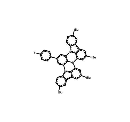 CC(C)(C)c1ccc2c(c1)c1cc(C(C)(C)C)cc3c1n2-c1cc(-c2ccc(F)cc2)cc2c1B3c1cc(C(C)(C)C)cc3c4cc(C(C)(C)C)ccc4n-2c13